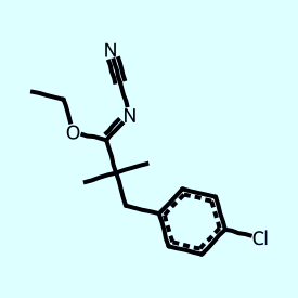 CCOC(=NC#N)C(C)(C)Cc1ccc(Cl)cc1